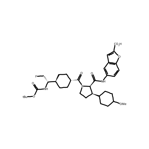 COC1CCC([C@H]2CCN(C(=O)[C@H]3CC[C@H]([C@@H](CF)NC(=O)OC(C)(C)C)CC3)[C@H]2C(=O)Nc2ccc3oc(C(=O)O)cc3c2)CC1